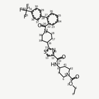 CCOC(=O)N1CCC(NC(=O)c2csc(C3CCN(C(=O)c4ccccc4-c4ccc(C(F)(F)F)cc4)CC3)n2)CC1